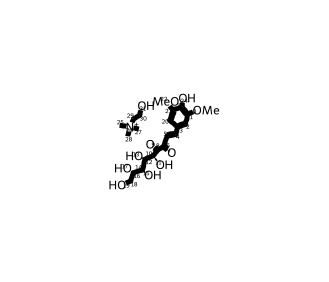 COc1cc(/C=C/C(=O)C(=O)[C@H](O)[C@@H](O)[C@H](O)[C@H](O)CO)cc(OC)c1O.C[N+](C)(C)CCO